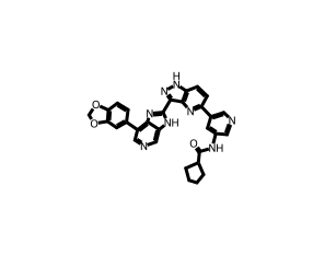 O=C(Nc1cncc(-c2ccc3[nH]nc(-c4nc5c(-c6ccc7c(c6)OCO7)cncc5[nH]4)c3n2)c1)C1CCCC1